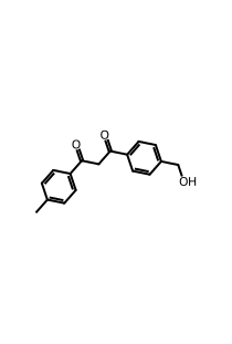 Cc1ccc(C(=O)CC(=O)c2ccc(CO)cc2)cc1